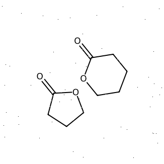 O=C1CCCCO1.O=C1CCCO1